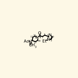 CCn1ccnc1CCC(=O)N1CCC(N(C)C(C)=O)CC1